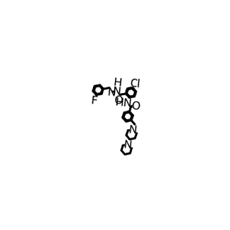 O=C(Nc1ccc(Cl)cc1C(=O)NN=Cc1cccc(F)c1)c1cccc(CN2CCC(N3CCCCC3)CC2)c1